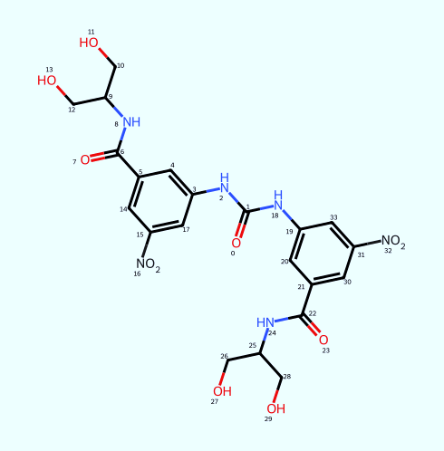 O=C(Nc1cc(C(=O)NC(CO)CO)cc([N+](=O)[O-])c1)Nc1cc(C(=O)NC(CO)CO)cc([N+](=O)[O-])c1